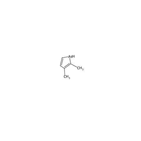 CC1=C(C)[AsH]C=C1